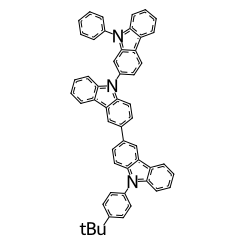 CC(C)(C)c1ccc(-n2c3ccccc3c3cc(-c4ccc5c(c4)c4ccccc4n5-c4ccc5c6ccccc6n(-c6ccccc6)c5c4)ccc32)cc1